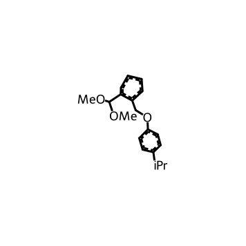 COC(OC)c1ccccc1COc1ccc(C(C)C)cc1